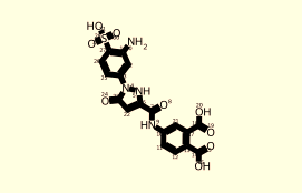 Nc1cc(-n2[nH]c(C(=O)Nc3ccc(C(=O)O)c(C(=O)O)c3)cc2=O)ccc1S(=O)(=O)O